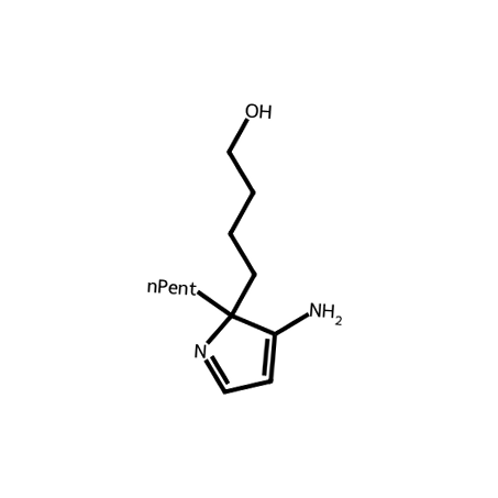 CCCCCC1(CCCCO)N=CC=C1N